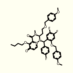 CCCCOc1c2n(ccc1=O)N(C(c1ccc(F)cc1)c1cc(F)c(F)cc1OCc1ccc(OC)cc1)C(CCOCc1ccc(OC)cc1)N(C)C2=O